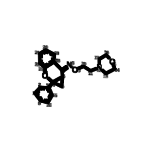 c1ccc(C23CC2C(=NOCCN2CCOCC2)c2ccccc2O3)cc1